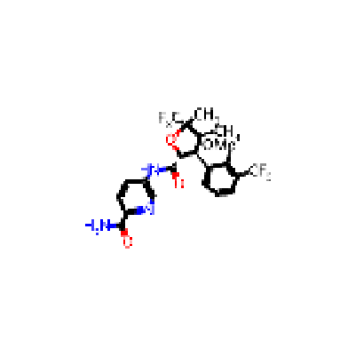 COc1c([C@H]2[C@H](C(=O)Nc3ccc(C(N)=O)nc3)O[C@@](C)(C(F)(F)F)[C@H]2C)cccc1C(F)(F)F